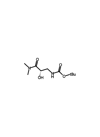 CN(C)C(=O)[C@@H](O)CNC(=O)OC(C)(C)C